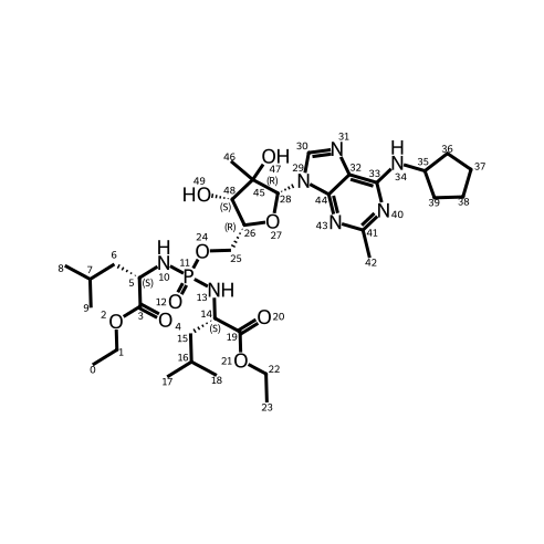 CCOC(=O)[C@H](CC(C)C)NP(=O)(N[C@@H](CC(C)C)C(=O)OCC)OC[C@H]1O[C@@H](n2cnc3c(NC4CCCC4)nc(C)nc32)C(C)(O)[C@H]1O